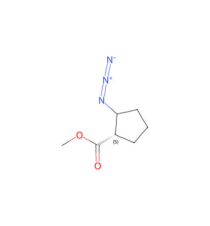 COC(=O)[C@H]1CCCC1N=[N+]=[N-]